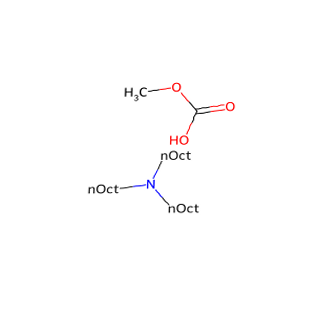 CCCCCCCCN(CCCCCCCC)CCCCCCCC.COC(=O)O